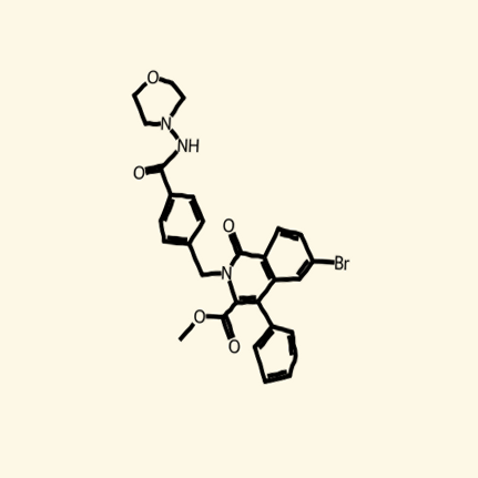 COC(=O)c1c(-c2ccccc2)c2cc(Br)ccc2c(=O)n1Cc1ccc(C(=O)NN2CCOCC2)cc1